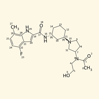 CC(=O)N(CCO)C1CCN([C@@H]2CCC[C@@H](NC(=O)c3cc4c(F)ccc(C)c4[nH]3)C2)C1